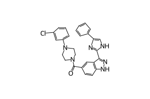 O=C(c1ccc2[nH]nc(-c3nc(-c4ccccc4)c[nH]3)c2c1)N1CCN(c2cccc(Cl)c2)CC1